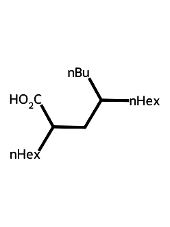 CCCCCCC(CCCC)CC(CCCCCC)C(=O)O